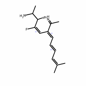 CCCC(\C(F)=C/C(=C\C=C\C=C(C)C)C(C)=N)C(C)N